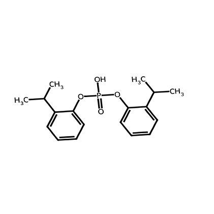 CC(C)c1ccccc1OP(=O)(O)Oc1ccccc1C(C)C